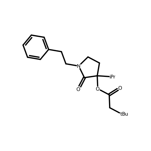 CC(C)C1(OC(=O)CC(C)(C)C)CCN(CCc2ccccc2)C1=O